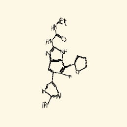 CCNC(=O)Nc1nc2cc(-c3cnc(C(C)C)nc3)c(F)c([C@H]3CCCO3)c2[nH]1